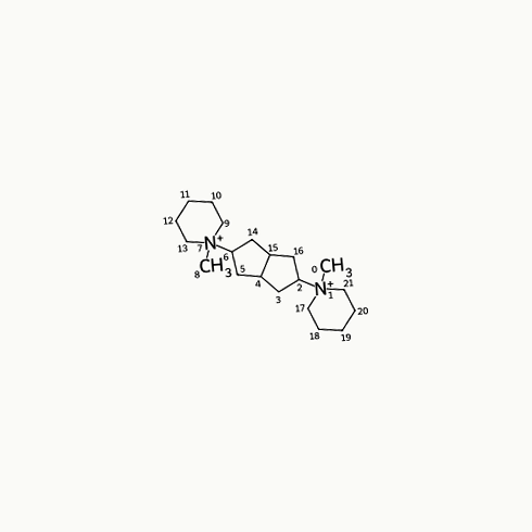 C[N+]1(C2CC3CC([N+]4(C)CCCCC4)CC3C2)CCCCC1